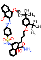 CCC(C)(C)c1ccc(OCCCCC2C=C(NS(=O)(=O)c3ccc(N=Nc4cc(OC(C)C)c5ccccc5c4O)cc3)c3ccccc3C2(O)C(N)=O)c(C(C)(C)CC)c1